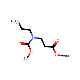 CC(C)(C)OC(=O)CCN(CCC(=O)O)C(=O)OC(C)(C)C